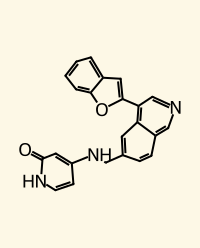 O=c1cc(NCc2ccc3cncc(-c4cc5ccccc5o4)c3c2)cc[nH]1